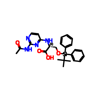 CC(=O)Nc1nccc(N[C@H](CO[Si](c2ccccc2)(c2ccccc2)C(C)(C)C)C(=O)O)n1